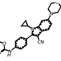 CC(C)OC(=O)Nc1ccc(-c2c(C#N)c3ccc(N4CCOCC4)cc3n2C2CC2)cc1